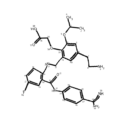 CC(C)Oc1cc(CCN)cc(CNc2ccc(F)cc2C(=O)Nc2ccc(C(=N)N)cc2)c1OCC(=O)O